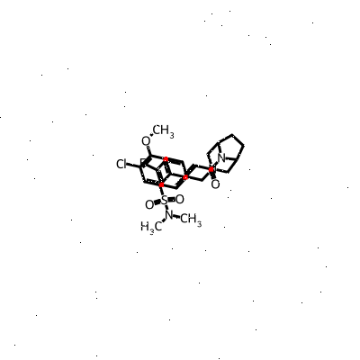 COc1cc(C=CC(=O)N2C3CCC2CN(Cc2ccc(F)cc2)C3)c(S(=O)(=O)N(C)C)cc1Cl